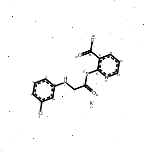 O=C(CNc1cccc(Cl)c1)Sc1ncccc1C(=O)[O-].[K+]